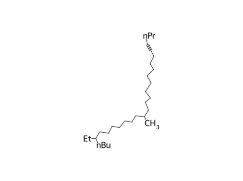 [CH2]CCC#CCCCCCCCCCC(C)CCCCCCCC(CC)CCC[CH2]